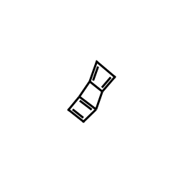 c1cc2c1c1ccc21